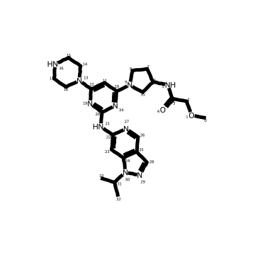 COCC(=O)NC1CCN(c2cc(N3CCNCC3)nc(Nc3cc4c(cn3)cnn4C(C)C)n2)C1